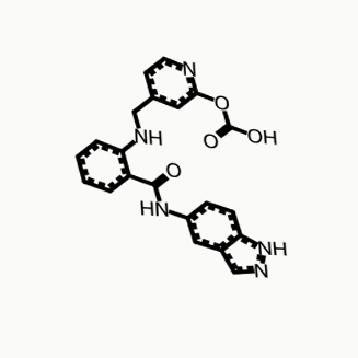 O=C(O)Oc1cc(CNc2ccccc2C(=O)Nc2ccc3[nH]ncc3c2)ccn1